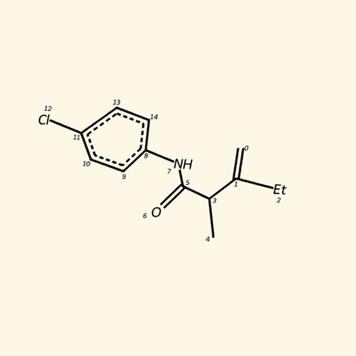 C=C(CC)C(C)C(=O)Nc1ccc(Cl)cc1